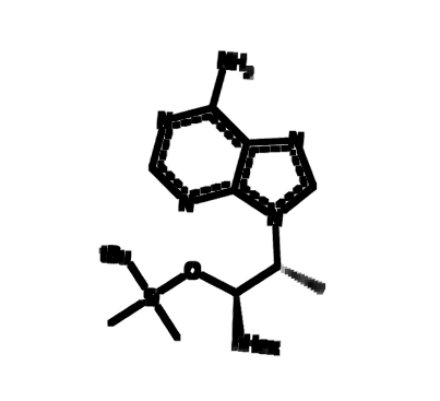 CCCCCC[C@@H](O[Si](C)(C)C(C)(C)C)[C@@H](C)n1cnc2c(N)ncnc21